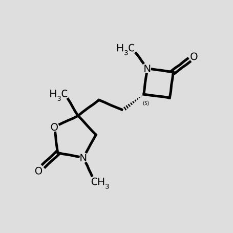 CN1CC(C)(CC[C@H]2CC(=O)N2C)OC1=O